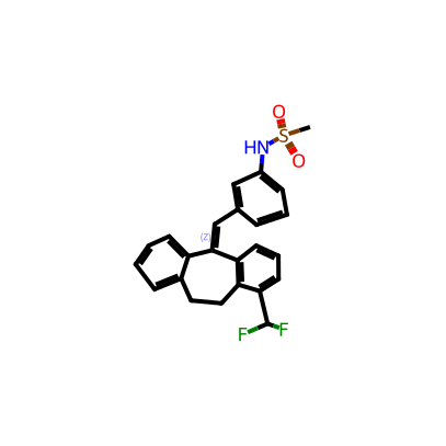 CS(=O)(=O)Nc1cccc(/C=C2/c3ccccc3CCc3c2cccc3C(F)F)c1